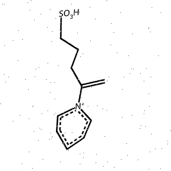 C=C(CCCS(=O)(=O)O)[n+]1ccccc1